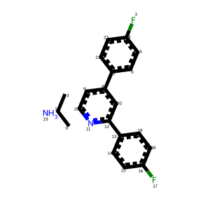 CCC.Fc1ccc(-c2ccnc(-c3ccc(F)cc3)c2)cc1.N